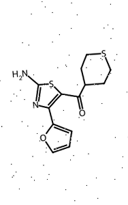 Nc1nc(-c2ccco2)c(C(=O)C2CCSCC2)s1